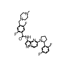 CN1CCN(Cc2cc(F)c(C(=O)Nc3cnn4ccc(N5CCCC5c5cc(F)ccc5F)nc34)cc2F)CC1